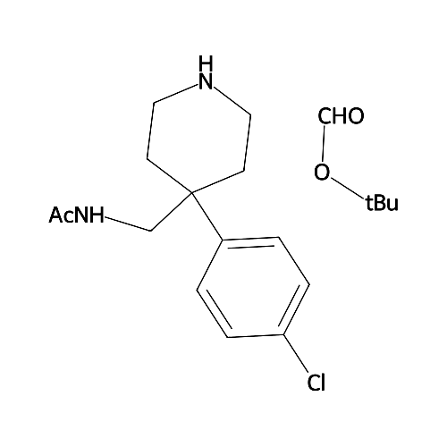 CC(=O)NCC1(c2ccc(Cl)cc2)CCNCC1.CC(C)(C)OC=O